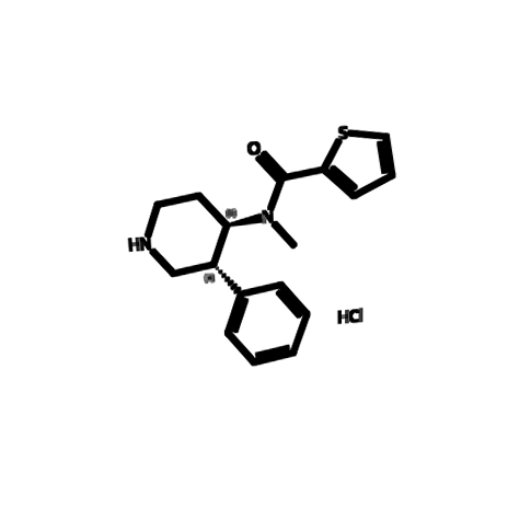 CN(C(=O)c1cccs1)[C@@H]1CCNC[C@H]1c1ccccc1.Cl